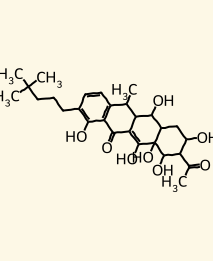 CC(=O)C1C(O)CC2C(O)C3C(=C(O)C2(O)C1O)C(=O)c1c(ccc(CCCC(C)(C)C)c1O)C3C